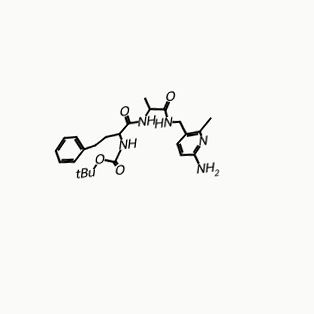 Cc1nc(N)ccc1CNC(=O)C(C)NC(=O)C(CCc1ccccc1)NC(=O)OC(C)(C)C